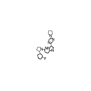 Fc1cccc(C2CCCN2c2ccc3ncc(-c4cnc(N5CCCC5)cn4)n3n2)c1